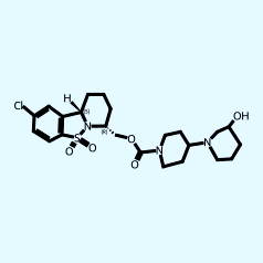 O=C(OC[C@H]1CCC[C@H]2c3cc(Cl)ccc3S(=O)(=O)N12)N1CCC(N2CCCC(O)C2)CC1